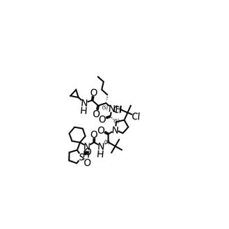 CCCC[C@H](NC(=O)[C@@H]1C(C(C)(Cl)Cl)CCN1C(=O)[C@@H](NC(=O)NC1(C2CCCS2(=O)=O)CCCCC1)C(C)(C)C)C(=O)C(=O)NC1CC1